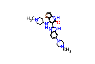 CN1CCC(Nc2c(-c3nc4ccc(N5CCN(C)CC5)cc4[nH]3)c(=O)[nH]c3ccsc23)CC1